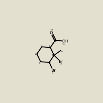 CC1(Br)C(Br)CCCC1C(=O)O